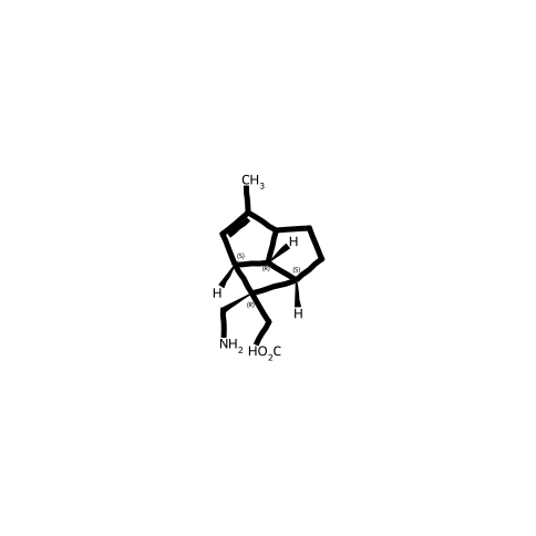 CC1=C[C@@H]2[C@@H]3C1CC[C@@H]3[C@]2(CN)CC(=O)O